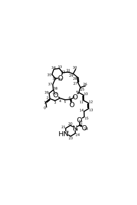 C/C=C1\CC2CC(=O)OC(/C=C/C=C\CCOC(=O)N3CCNCC3)C(C)/C=C/C(C)CC3CCCC(CC(C1)O2)O3